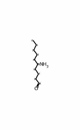 CCCCCCCCCC=O.N